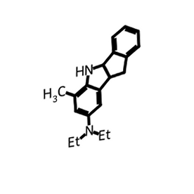 CCN(CC)c1cc(C)c2c(c1)C1Cc3ccccc3C1N2